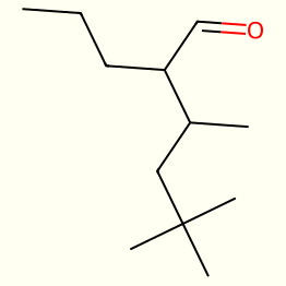 CCCC(C=O)C(C)CC(C)(C)C